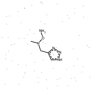 CN(Cc1c[nH]nn1)ON